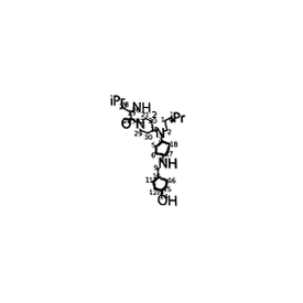 CC(C)CCN(c1ccc(NCc2ccc(O)cc2)cc1)C1CCN(C(=O)C(N)CC(C)C)CC1